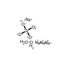 O.O.[Na+].[Na+].[Na+].[Na+].[O-][Si]([O-])([O-])[O-]